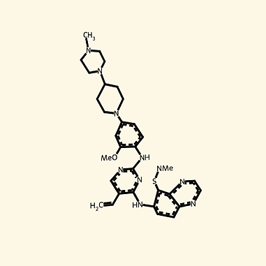 C=Cc1cnc(Nc2ccc(N3CCC(N4CCN(C)CC4)CC3)cc2OC)nc1Nc1ccc2nccnc2c1SNC